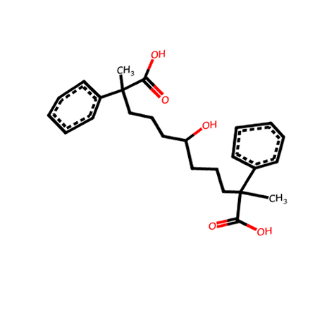 CC(CCCC(O)CCCC(C)(C(=O)O)c1ccccc1)(C(=O)O)c1ccccc1